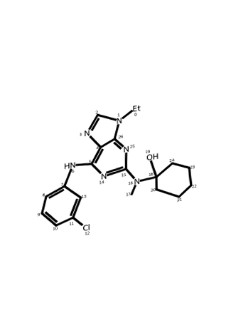 CCn1cnc2c(Nc3cccc(Cl)c3)nc(N(C)C3(O)CCCCC3)nc21